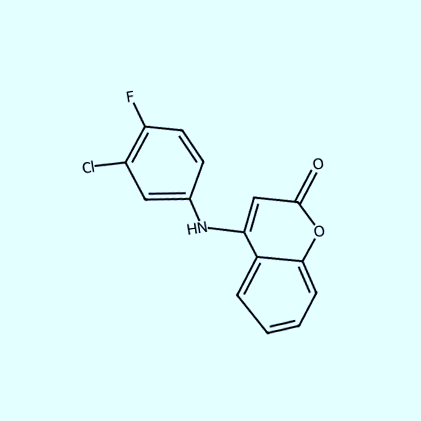 O=c1cc(Nc2ccc(F)c(Cl)c2)c2ccccc2o1